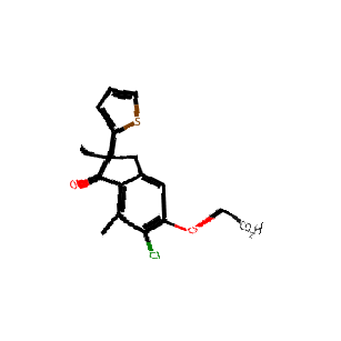 Cc1c(Cl)c(OCC(=O)O)cc2c1C(=O)C(C)(c1cccs1)C2